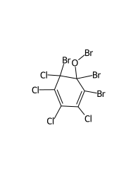 ClC1=C(Cl)C(Cl)(Br)C(Br)(OBr)C(Br)=C1Cl